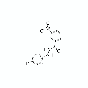 Cc1cc(I)ccc1NNC(=O)c1cccc([N+](=O)[O-])c1